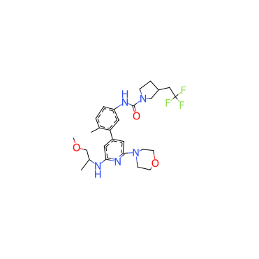 COCC(C)Nc1cc(-c2cc(NC(=O)N3CCC(CC(F)(F)F)C3)ccc2C)cc(N2CCOCC2)n1